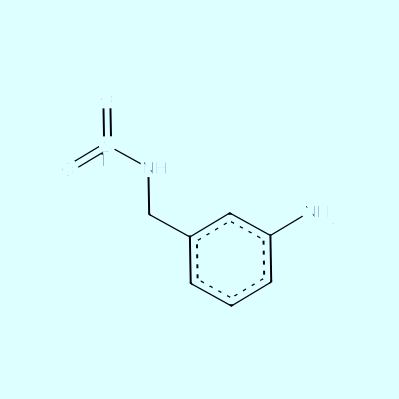 Nc1cccc(CN[SH](=O)=O)c1